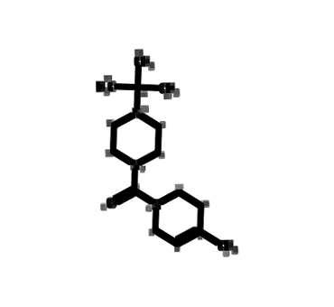 CC1=CCN(C(=O)N2CCN(C(C)(C)C)CC2)CC1